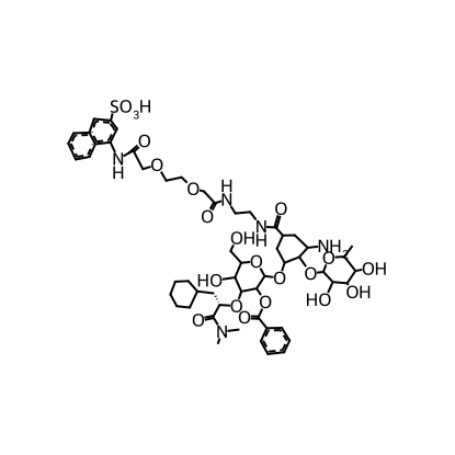 CC1OC(OC2C(N)CC(C(=O)NCCNC(=O)COCCOCC(=O)Nc3cc(S(=O)(=O)O)cc4ccccc34)CC2OC2OC(CO)C(O)C(O[C@@H](CC3CCCCC3)C(=O)N(C)C)C2OC(=O)c2ccccc2)C(O)C(O)C1O